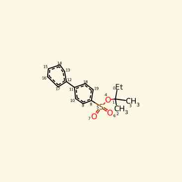 CCC(C)(C)OS(=O)(=O)c1ccc(-c2ccccc2)cc1